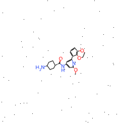 COc1cc(NC(=O)C2CCC(N)CC2)cc(-c2cccc3c2OCCO3)n1